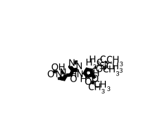 CC1(C)O[C@@H]2[C@@H](CO[Si](C)(C)C(C)(C)C)C[C@@H](Nc3ncncc3C(=O)c3ccn(C(=O)O)n3)[C@@H]2O1